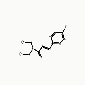 CCN(CC)C(=O)C=Cc1ccc(F)cc1